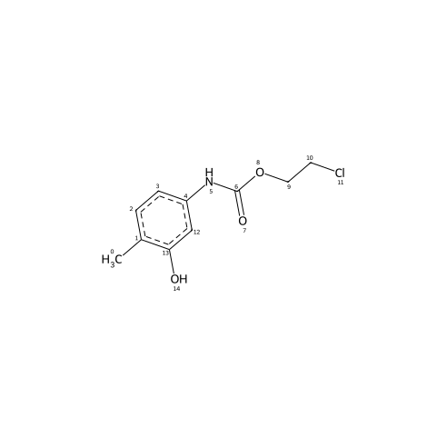 Cc1ccc(NC(=O)OCCCl)cc1O